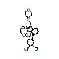 Clc1ccc(-c2cccc3c2CC=C3CCN2CCOCC2)cc1Cl.O=C(O)/C=C\C(=O)O